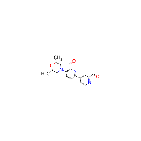 C[C@@H]1CN(c2ccc(-c3ccnc(C=O)c3)nc2C=O)C[C@H](C)O1